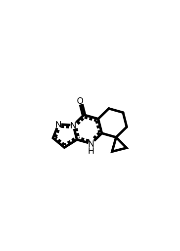 O=c1c2c([nH]c3ccnn13)C1(CCC2)CC1